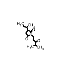 CCC(C)C1CC(=O)N(CCC(=O)C(C)C)C1=O